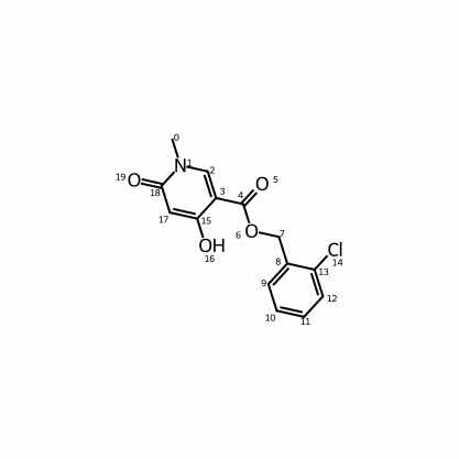 Cn1cc(C(=O)OCc2ccccc2Cl)c(O)cc1=O